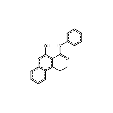 CCc1c(C(=O)Nc2ccccc2)c(O)cc2ccccc12